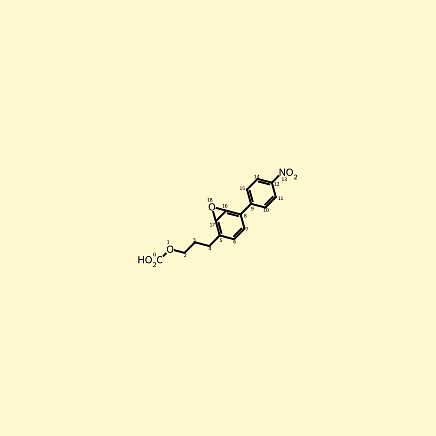 O=C(O)OCCCc1ccc(-c2ccc([N+](=O)[O-])cc2)c2c1O2